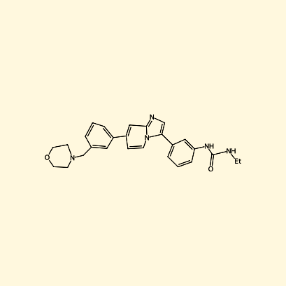 CCNC(=O)Nc1cccc(-c2cnc3cc(-c4cccc(CN5CCOCC5)c4)ccn23)c1